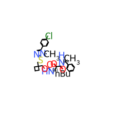 CCCC[C@H](NC(=O)OCC1(CSc2ncc(-c3ccc(Cl)cc3)n2C)CCC1)C(=O)C(=O)N[C@H](C)c1ccccc1